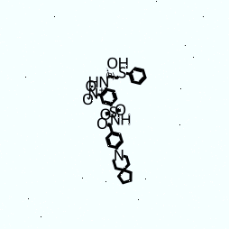 O=C(NS(=O)(=O)c1ccc(N[C@H](CO)CSc2ccccc2)c([N+](=O)[O-])c1)c1ccc(N2CCC3(CCCC3)CC2)cc1